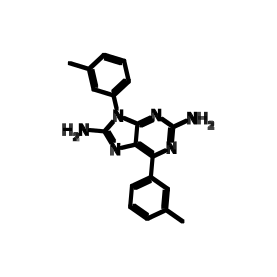 Cc1cccc(-c2nc(N)nc3c2nc(N)n3-c2cccc(C)c2)c1